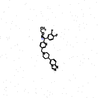 CCO/N=C(\c1ccc(F)c(F)c1)c1ccc(CN2CCC(c3ccc4nncn4c3)CC2)cn1